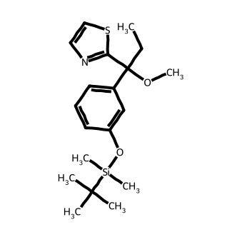 CCC(OC)(c1cccc(O[Si](C)(C)C(C)(C)C)c1)c1nccs1